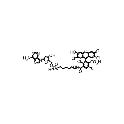 Nc1ncnc2c1ncn2[C@H]1C[C@@H](O)[C@@H](COP(=O)(O)OCCCCCCNC(=O)c2cc(Cl)c(C(=O)O)c(-c3c4cc(Cl)c(=O)cc-4oc4cc(O)c(Cl)cc34)c2Cl)O1